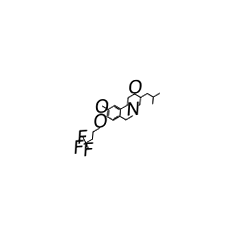 COc1cc2c(cc1OCCCC(F)(F)F)CCN1CC(CC(C)C)C(=O)CC21